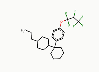 CCCC1CCC(C2(c3ccc(OC(F)(F)C(F)C(F)(F)F)cc3)CCCCC2)CC1